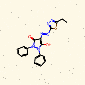 CCc1nnc(N=Nc2c(O)n(-c3ccccc3)n(-c3ccccc3)c2=O)s1